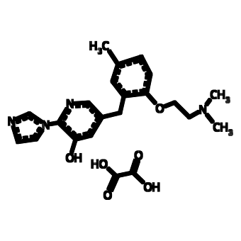 Cc1ccc(OCCN(C)C)c(Cc2cnc(-n3ccnc3)c(O)c2)c1.O=C(O)C(=O)O